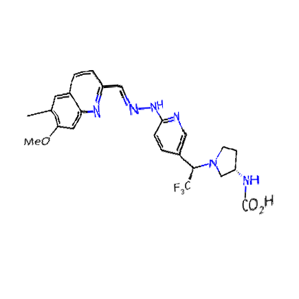 COc1cc2nc(C=NNc3ccc([C@@H](N4CC[C@H](NC(=O)O)C4)C(F)(F)F)cn3)ccc2cc1C